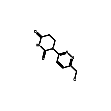 O=C1CCN(c2ccc(CCl)nn2)C(=O)N1